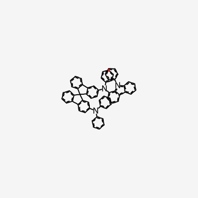 c1ccc(N(c2ccccc2)c2ccc3c(c2)C2(c4ccccc4-c4cc(N(c5ccccc5)c5cccc6c7ccccc7n(-c7ccccc7)c56)ccc42)c2ccccc2-3)cc1